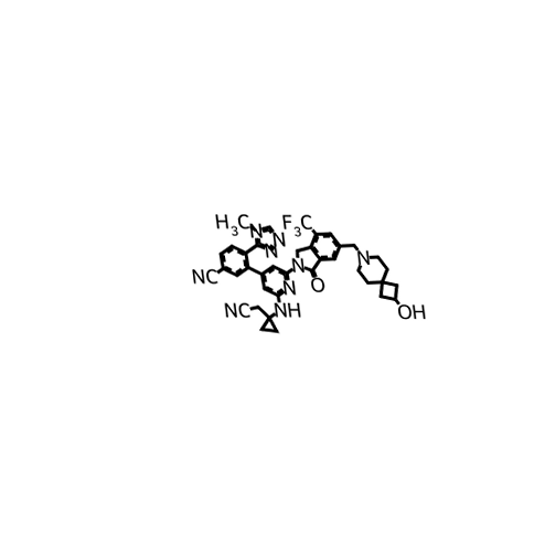 Cn1cnnc1-c1ccc(C#N)cc1-c1cc(NC2(CC#N)CC2)nc(N2Cc3c(cc(CN4CCC5(CC4)CC(O)C5)cc3C(F)(F)F)C2=O)c1